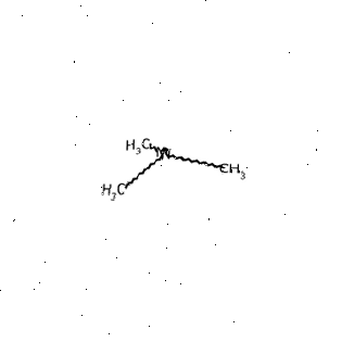 CCCCCCCCCCCCCCCN1C=CN(CCCCC)C1CCCCCCCCCCCCCC